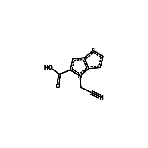 N#CCn1c(C(=O)O)cc2sccc21